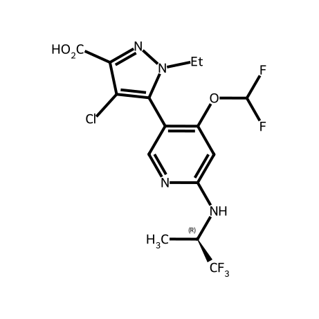 CCn1nc(C(=O)O)c(Cl)c1-c1cnc(N[C@H](C)C(F)(F)F)cc1OC(F)F